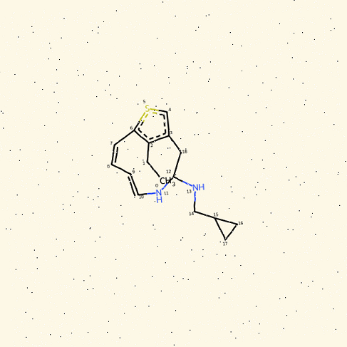 CCc1c2csc1/C=C\C=C\NC(NCC1CC1)C2